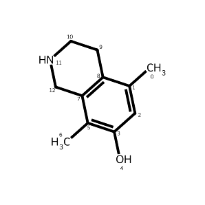 Cc1cc(O)c(C)c2c1CCNC2